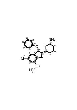 COc1cc(Cl)cc2c1C[C@H](N1CCC[C@@H](N)C1)[C@H]2Oc1ccccc1